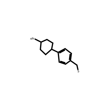 CCCC1CCC(c2ccc(C[S])cc2)CC1